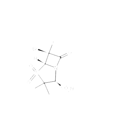 CC1(C)[C@H](C(=O)O)N2C(=O)[C@@](Br)(I)[C@H]2S1(=O)=O